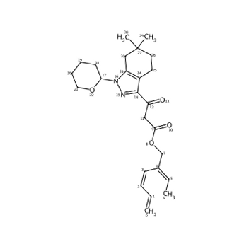 C=C/C=C\C(=C/C)COC(=O)CC(=O)c1nn(C2CCCCO2)c2c1CCC(C)(C)C2